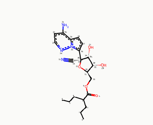 CCCC(CCC)C(=O)OC[C@H]1O[C@@](C#N)(c2ccc3c(N)ccnn23)[C@H](O)[C@@H]1O